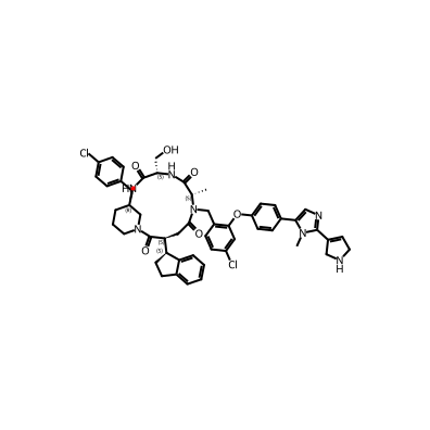 C[C@H]1C(=O)N[C@@H](CO)C(=O)N[C@@]2(Cc3ccc(Cl)cc3)CCCN(C2)C(=O)[C@H]([C@@H]2CCc3ccccc32)CC(=O)N1Cc1ccc(Cl)cc1Oc1ccc(-c2cnc(C3=CCNC3)n2C)cc1